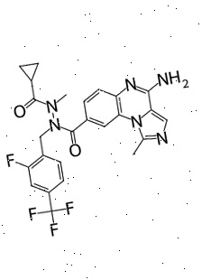 Cc1ncc2c(N)nc3ccc(C(=O)N(Cc4ccc(C(F)(F)F)cc4F)N(C)C(=O)C4CC4)cc3n12